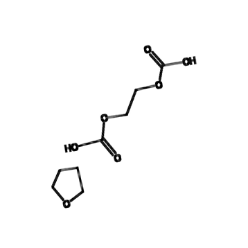 C1CCOC1.O=C(O)OCCOC(=O)O